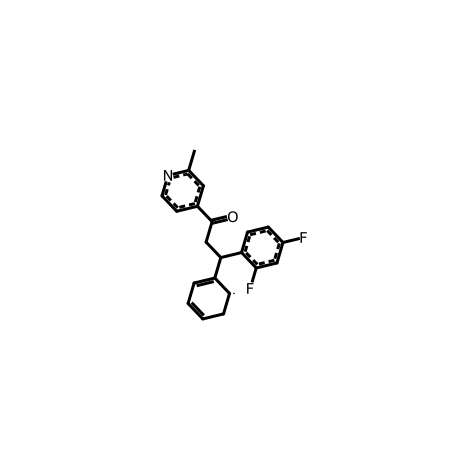 Cc1cc(C(=O)CC(C2=CC=CC[CH]2)c2ccc(F)cc2F)ccn1